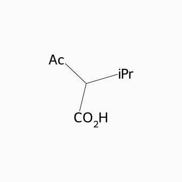 CC(=O)C(C(=O)O)C(C)C